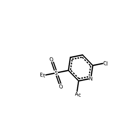 CCS(=O)(=O)c1ccc(Cl)nc1C(C)=O